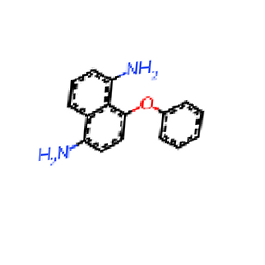 Nc1ccc(Oc2ccccc2)c2c(N)cccc12